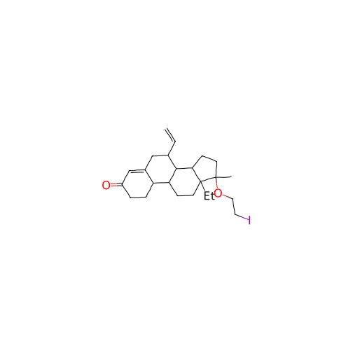 C=CC1CC2=CC(=O)CCC2C2CCC3(CC)C(CCC3(C)OCCI)C12